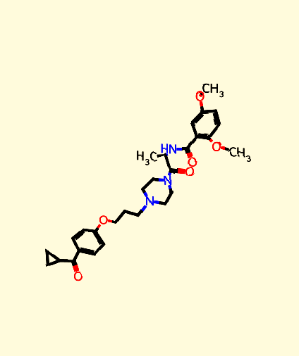 COc1ccc(OC)c(C(=O)N[C@H](C)C(=O)N2CCN(CCCOc3ccc(C(=O)C4CC4)cc3)CC2)c1